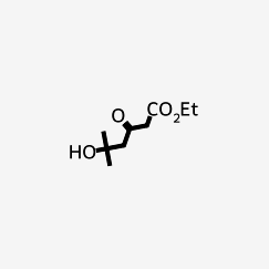 CCOC(=O)CC(=O)CC(C)(C)O